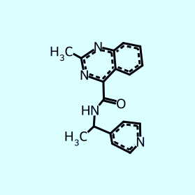 Cc1nc(C(=O)NC(C)c2ccncc2)c2ccccc2n1